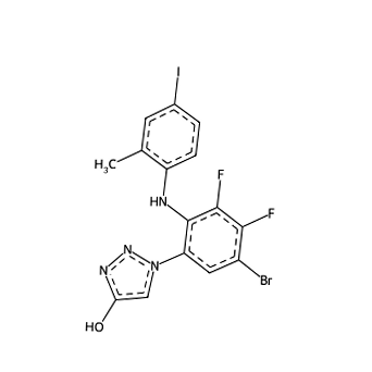 Cc1cc(I)ccc1Nc1c(-n2cc(O)nn2)cc(Br)c(F)c1F